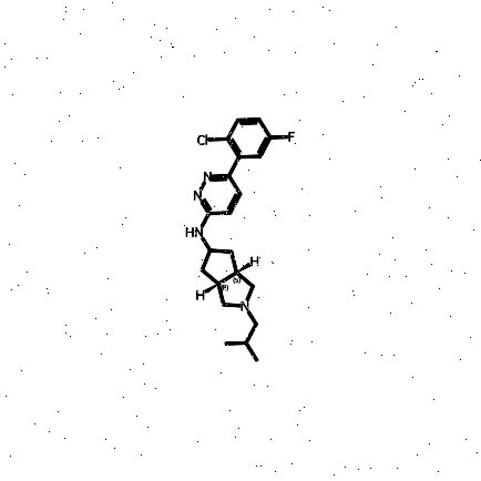 CC(C)CN1C[C@H]2CC(Nc3ccc(-c4cc(F)ccc4Cl)nn3)C[C@H]2C1